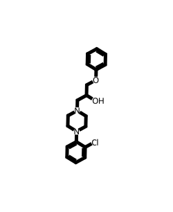 OC(COc1ccccc1)CN1CCN(c2ccccc2Cl)CC1